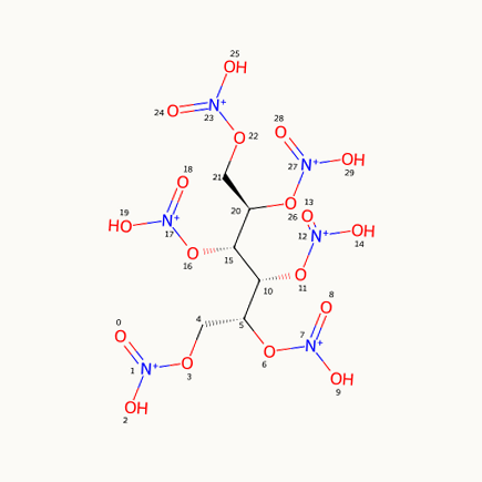 O=[N+](O)OC[C@@H](O[N+](=O)O)[C@@H](O[N+](=O)O)[C@H](O[N+](=O)O)[C@@H](CO[N+](=O)O)O[N+](=O)O